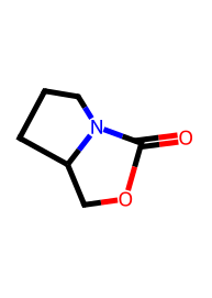 O=C1OC[C]2CCCN21